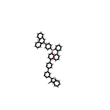 Cc1c(-c2cccc(-c3ccc(-c4ccc(N(c5ccc(-c6cc7ccccc7c7ccccc67)cc5)c5ccccc5-c5ccccc5)cc4)cc3)c2)oc2ccccc12